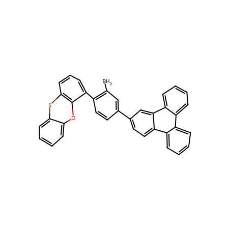 Bc1cc(-c2ccc3c4ccccc4c4ccccc4c3c2)ccc1-c1cccc2c1Oc1ccccc1S2